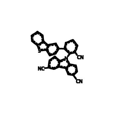 N#Cc1ccc2c(c1)c1cc(C#N)ccc1n2-c1c(C#N)cccc1-c1ccc2sc3ccccc3c2c1